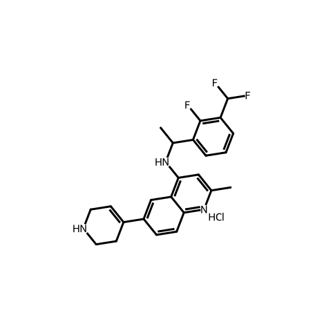 Cc1cc(NC(C)c2cccc(C(F)F)c2F)c2cc(C3=CCNCC3)ccc2n1.Cl